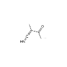 CCC(=O)C(C)=C=N